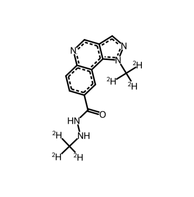 [2H]C([2H])([2H])NNC(=O)c1ccc2ncc3cnn(C([2H])([2H])[2H])c3c2c1